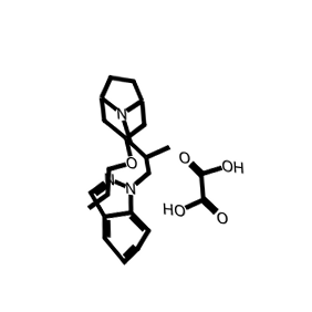 CCCOC1CC2CCC(C1)N2CC(C)Cn1ncc2ccccc21.O=C(O)C(=O)O